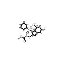 COC(=O)CCc1cc2cc(Cl)cc(Cl)c2n1S(=O)(=O)c1ccccc1